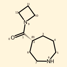 O=C([C@@H]1CCCNCC1)N1CCC1